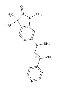 CN1C(=O)C(C)(C)c2ccc(N(N)/C=C(\N)c3ccncc3)cc21